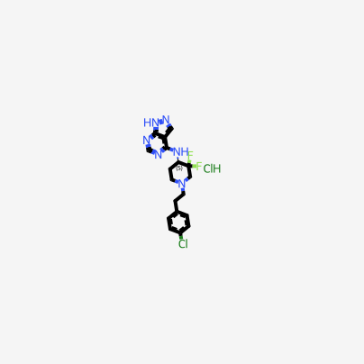 Cl.FC1(F)CN(CCc2ccc(Cl)cc2)CC[C@@H]1Nc1ncnc2[nH]ncc12